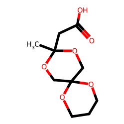 CC1(CC(=O)O)OCC2(CO1)OCCCO2